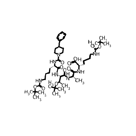 C[C@H](NC(=O)[C@@H](NC(=O)[C@H](CCCCNC(=O)OC(C)(C)C)NC(=O)N1CCC(c2ccccc2)CC1)[C@@H](C)OC(C)(C)C)C(=O)N[C@@H](CCCCNC(=O)OC(C)(C)C)C(=O)O